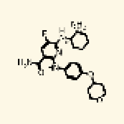 NC(=O)c1cc(F)c(N[C@@H]2CCCC[C@@H]2N)nc1Nc1ccc(OC2CCOCC2)cc1